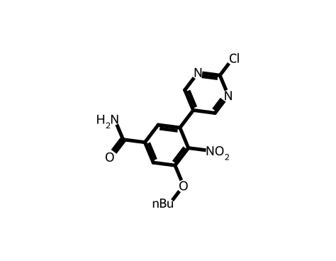 [CH2]CCCOc1cc(C(N)=O)cc(-c2cnc(Cl)nc2)c1[N+](=O)[O-]